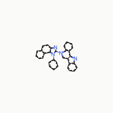 c1ccc(-n2c(-n3cc4c5ccccc5nc-4c4ccccc43)nc3ccc4ccccc4c32)cc1